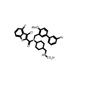 COc1ccc(-c2cccc(C(C)=O)c2)cc1CN(C(=O)c1sc2cccc(F)c2c1Cl)C1CCC(CNC(=O)O)CC1